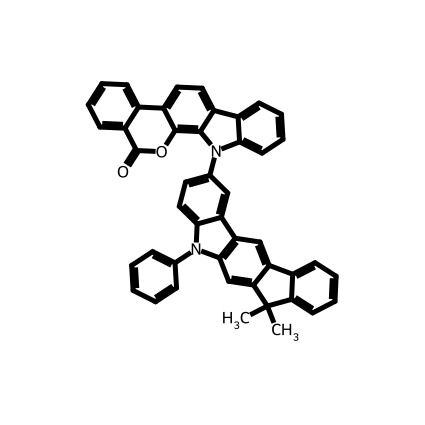 CC1(C)c2ccccc2-c2cc3c4cc(-n5c6ccccc6c6ccc7c8ccccc8c(=O)oc7c65)ccc4n(-c4ccccc4)c3cc21